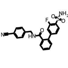 N#Cc1ccc(CNC(=O)c2ccccc2-c2ccc(S(N)(=O)=O)c(F)c2)cc1